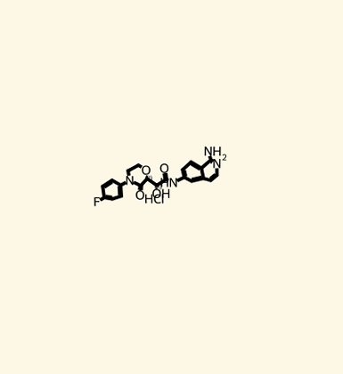 Cl.Nc1nccc2cc(NC(=O)[C@H](O)[C@H]3OCCN(c4ccc(F)cc4)C3=O)ccc12